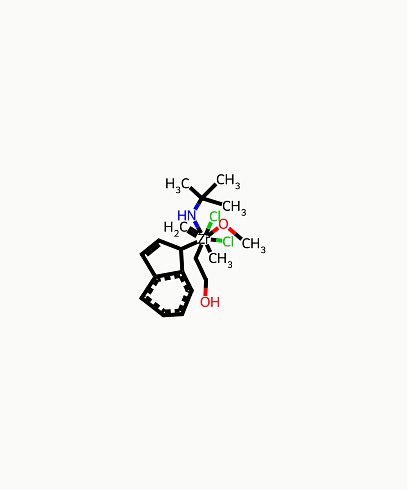 [CH2]=[Zr]([CH3])([Cl])([Cl])([CH2]CO)([NH]C(C)(C)C)([O]C)[CH]1C=Cc2ccccc21